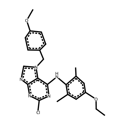 CCOc1cc(C)c(Nc2nc(Cl)nc3ncn(Cc4ccc(OC)cc4)c23)c(C)c1